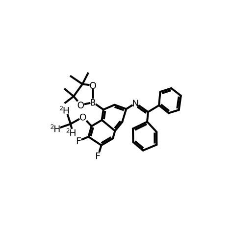 [2H]C([2H])([2H])Oc1c(F)c(F)cc2cc(N=C(c3ccccc3)c3ccccc3)cc(B3OC(C)(C)C(C)(C)O3)c12